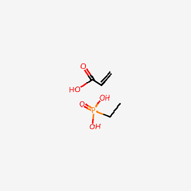 C=CC(=O)O.CCP(=O)(O)O